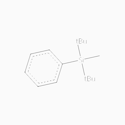 CC(C)(C)[Si](C)(c1ccccc1)C(C)(C)C